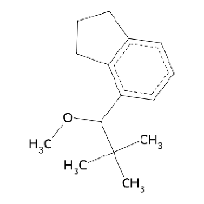 COC(c1cccc2c1CCC2)C(C)(C)C